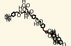 C[C@]12C=CC(=O)C=C1CC[C@@H]1[C@@H]2[C@@H](O)C[C@@]2(C)[C@H]1C[C@H]1O[C@@H](C34CC(Cc5cccc(NC(=O)OCc6ccc(NC(=O)[C@H](CCC(=O)O)NC(=O)CNC(=O)Cc7ccc(-c8nncnn8)cc7)cc6)c5)(C3)C4)O[C@]12C(=O)CO